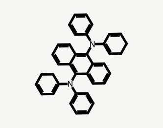 C1=CCCC(N(c2ccccc2)c2c3ccccc3c(N(C3=CCCC=C3)c3ccccc3)c3ccccc23)=C1